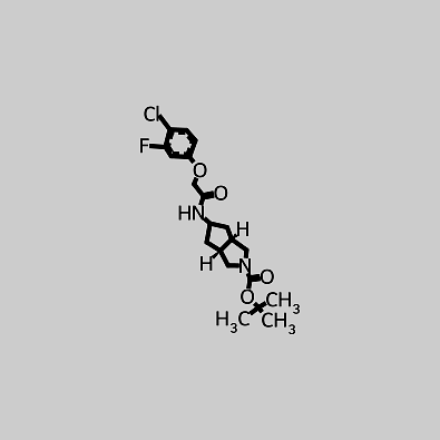 CC(C)(C)OC(=O)N1C[C@H]2CC(NC(=O)COc3ccc(Cl)c(F)c3)C[C@H]2C1